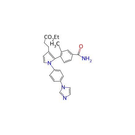 CCOC(=O)CCc1ccn(-c2ccc(-n3ccnc3)cc2)c1-c1ccc(C(N)=O)cc1C